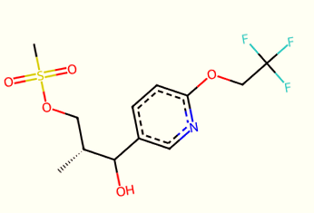 C[C@H](COS(C)(=O)=O)C(O)c1ccc(OCC(F)(F)F)nc1